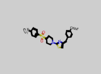 COc1ccc(Cc2csc(N3CCC(S(=O)(=O)c4ccc([N+](=O)[O-])cc4)CC3)n2)cc1